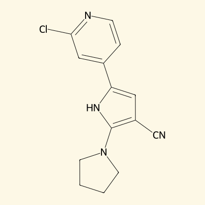 N#Cc1cc(-c2ccnc(Cl)c2)[nH]c1N1CCCC1